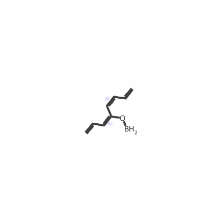 BOC(/C=C\C=C)=C/C=C